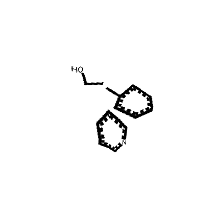 CCO.Cc1ccccc1.c1ccncc1